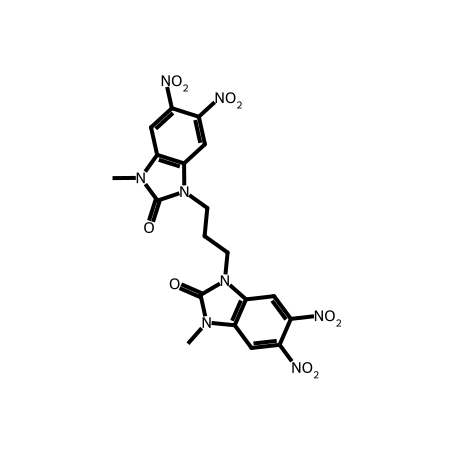 Cn1c(=O)n(CCCn2c(=O)n(C)c3cc([N+](=O)[O-])c([N+](=O)[O-])cc32)c2cc([N+](=O)[O-])c([N+](=O)[O-])cc21